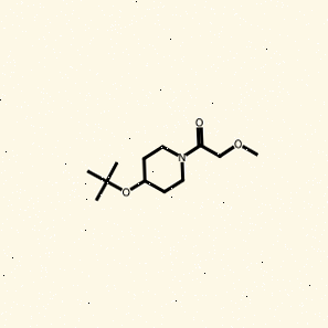 COCC(=O)N1CCC(OC(C)(C)C)CC1